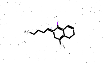 CCCC/C=C1\CC(C)=C2CCC=CC2=C1I